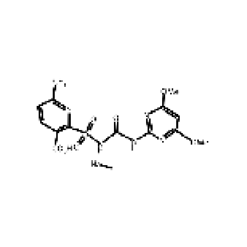 COc1cc(OC)nc(NC(=O)NS(=O)(=O)c2nc(C(F)(F)F)ccc2C(=O)O)n1.[CH3][Na]